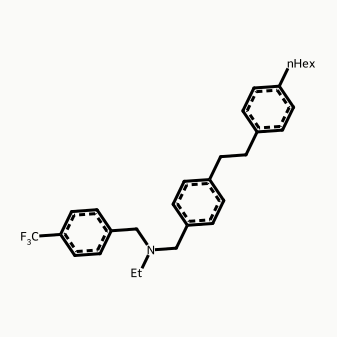 CCCCCCc1ccc(CCc2ccc(CN(CC)Cc3ccc(C(F)(F)F)cc3)cc2)cc1